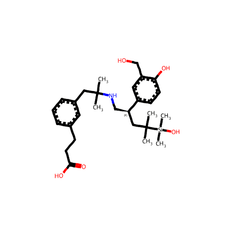 CC(C)(Cc1cccc(CCC(=O)O)c1)NC[C@H](CC(C)(C)[Si](C)(C)O)c1ccc(O)c(CO)c1